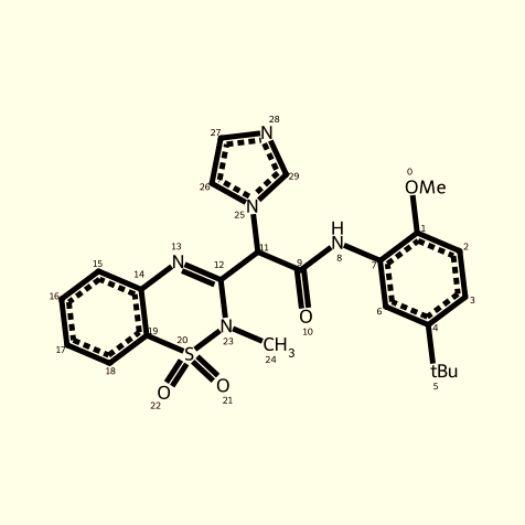 COc1ccc(C(C)(C)C)cc1NC(=O)C(C1=Nc2ccccc2S(=O)(=O)N1C)n1ccnc1